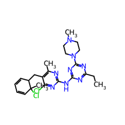 CCc1nc(Nc2nc(C)c(CC3C=CC=CC3(C)Cl)c(Cl)n2)nc(N2CCN(C)CC2)n1